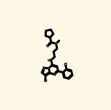 CN(CCCNc1cc(-c2ccccc2Cl)nc2c(Br)cnn12)C(=O)C1CCCC1